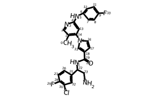 Cc1cnc(Nc2ccc(F)cc2)cc1-n1ccc(C(=O)NC(CN)c2ccc(F)c(Cl)c2)c1